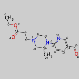 CCOC(=O)CCN1CCN(c2ccc(C=O)cn2)[C@H](C)C1